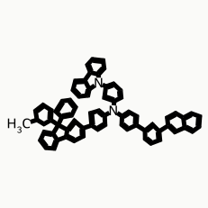 CC1C=CC=C(C2(c3ccccc3)c3ccccc3-c3ccc(-c4ccc(N(c5ccc(-c6cccc(-c7ccc8ccccc8c7)c6)cc5)c5cccc(-n6c7ccccc7c7ccccc76)c5)cc4)cc32)C1